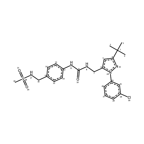 CC(C)(C)c1cc(CNC(=O)Nc2ccc(CNS(C)(=O)=O)cc2)n(-c2cccc(Cl)c2)n1